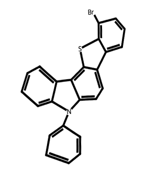 Brc1cccc2c1sc1c2ccc2c1c1ccccc1n2-c1ccccc1